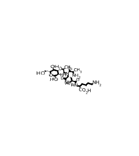 CC(=O)C(C[C@H](C(N)=O)N(CC(C)O[C@@H]1[C@@H](N)[C@@H](O)O[C@H](CO)[C@H]1O)C(=O)[C@H](C)N)C(=O)N[C@@H](CCCCN)C(=O)O